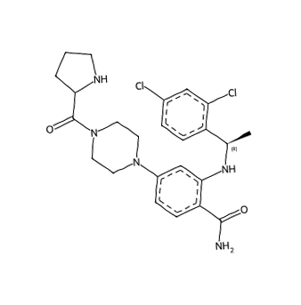 C[C@@H](Nc1cc(N2CCN(C(=O)C3CCCN3)CC2)ccc1C(N)=O)c1ccc(Cl)cc1Cl